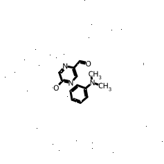 CN(C)c1ccccc1.[O]c1cnc(C=O)cn1